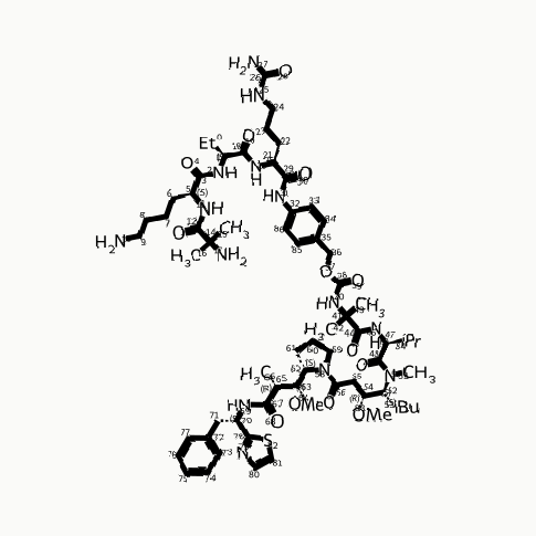 CC[C@H](NC(=O)[C@H](CCCCN)NC(=O)C(C)(C)N)C(=O)N[C@@H](CCCNC(N)=O)C(=O)Nc1ccc(COC(=O)NC(C)(C)C(=O)N[C@H](C(=O)N(C)[C@@H]([C@@H](C)CC)[C@@H](CC(=O)N2CCC[C@H]2[C@H](OC)[C@@H](C)C(=O)N[C@@H](Cc2ccccc2)c2nccs2)OC)C(C)C)cc1